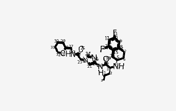 CCC[C@H](N[C@H]1CCc2cc(F)cc(F)c2C1)C(=O)Nc1cn(CC(=O)NCC2CCCCO2)cn1